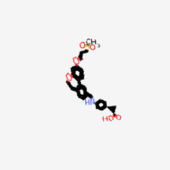 CS(=O)(=O)CCCOc1ccc2c(c1)OCCc1ccc(CNc3ccc([C@H]4C[C@@H]4C(=O)O)cc3)cc1-2